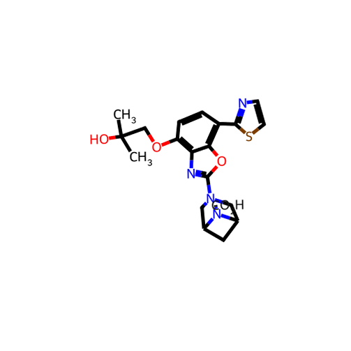 CC(C)(O)COc1ccc(-c2nccs2)c2oc(N3CC4CC(C3)N4C(=O)O)nc12